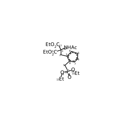 CCOC(=O)C(Cc1ccccc1CP(=O)(OCC)OCC)(NC(C)=O)C(=O)OCC